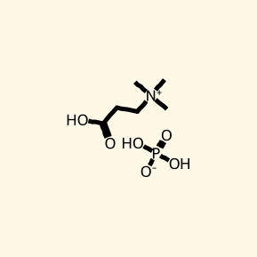 C[N+](C)(C)CCC(=O)O.O=P([O-])(O)O